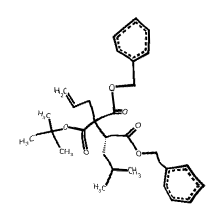 C=CCC(C(=O)OCc1ccccc1)(C(=O)OC(C)(C)C)[C@@H](CC(C)C)C(=O)OCc1ccccc1